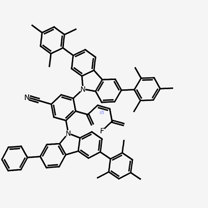 C=C(F)/C=C\C(=C)c1c(-n2c3ccc(-c4c(C)cc(C)cc4C)cc3c3ccc(-c4ccccc4)cc32)cc(C#N)cc1-n1c2ccc(-c3c(C)cc(C)cc3C)cc2c2ccc(-c3c(C)cc(C)cc3C)cc21